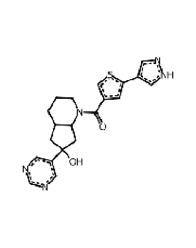 O=C(c1csc(-c2cn[nH]c2)c1)N1CCCC2CC(O)(c3cncnc3)CC21